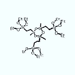 CCO[Si](CC[Si]1(C)O[Si](C)(CC[Si](OCC)(OCC)OCC)O[Si](C)(CC[Si](OCC)(OCC)OCC)O1)(OCC)OCC